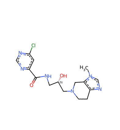 Cn1cnc2c1CN(C[C@@H](O)CNC(=O)c1cc(Cl)ncn1)CC2